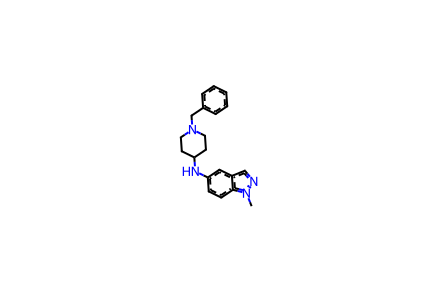 Cn1ncc2cc(NC3CCN(Cc4ccccc4)CC3)ccc21